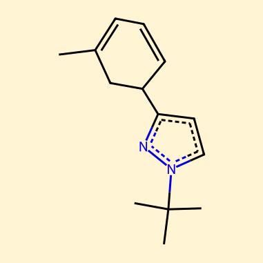 CC1=CC=CC(c2ccn(C(C)(C)C)n2)C1